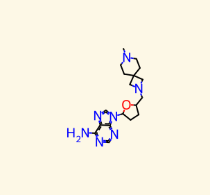 CN1CCC2(CC1)CN(CC1CCC(n3cnc4c(N)ncnc43)O1)C2